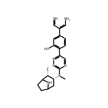 CN(c1ncc(-c2ccc(/C(C=N)=C/N)cc2O)nn1)[C@@H]1CC2CCC(N2)[C@@H]1F